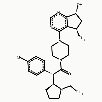 CCN1CCC[C@H]1[C@@H](C(=O)N1CCN(c2ncnc3c2[C@H](C)C[C@H]3O)CC1)c1ccc(Cl)cc1